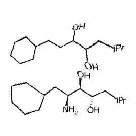 CC(C)CC(O)C(O)CCC1CCCCC1.CC(C)C[C@H](O)[C@H](O)[C@@H](N)CC1CCCCC1